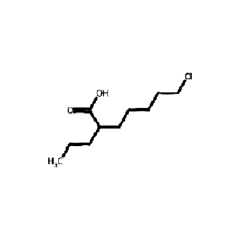 CCCC(CCCCCCl)C(=O)O